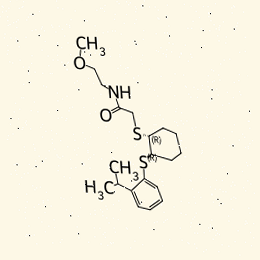 COCCNC(=O)CS[C@@H]1CCCC[C@H]1Sc1ccccc1C(C)C